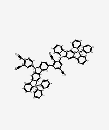 N#Cc1cc(-c2ccc3c(c2)c2cc4c(cc2n3-c2ccc(C#N)c(C#N)c2)-c2ccccc2[Si]4(c2ccccc2)c2ccccc2)c(C#N)c(-n2c3ccccc3c3cc4c(cc32)-c2ccccc2[Si]4(c2ccccc2)c2ccccc2)c1